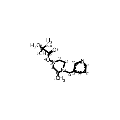 CC1CN(OC(=O)C(C)(C)C)CCN1Cc1cccnc1